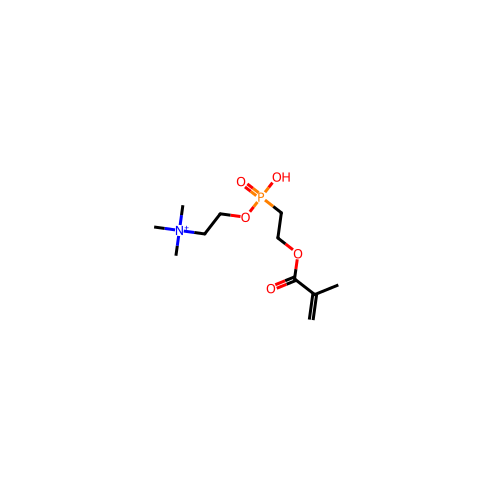 C=C(C)C(=O)OCCP(=O)(O)OCC[N+](C)(C)C